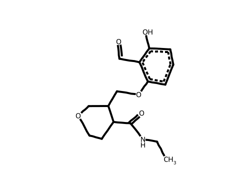 CCNC(=O)C1CCOCC1COc1cccc(O)c1C=O